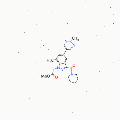 COC(=O)Cn1nc(C(=O)N2CCCCC2)c2cc(-c3cnc(C)nc3)cc(C)c21